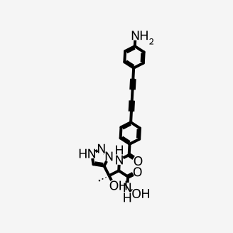 C[C@](O)(c1c[nH]nn1)C(NC(=O)c1ccc(C#CC#Cc2ccc(N)cc2)cc1)C(=O)NO